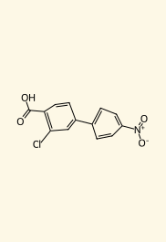 O=C(O)c1ccc(-c2ccc([N+](=O)[O-])cc2)cc1Cl